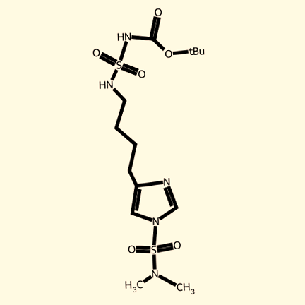 CN(C)S(=O)(=O)n1cnc(CCCCNS(=O)(=O)NC(=O)OC(C)(C)C)c1